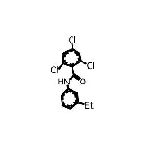 CCc1cccc(NC(=O)c2c(Cl)cc(Cl)cc2Cl)c1